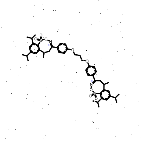 CC(C)c1cc(C(C)C)c2c(c1)C(C)C/C(c1ccc(OCCCOc3ccc(/C4=N/OS(=O)(=O)c5c(C(C)C)cc(C(C)C)cc5C(C)C4)cc3)cc1)=N\OS2(=O)=O